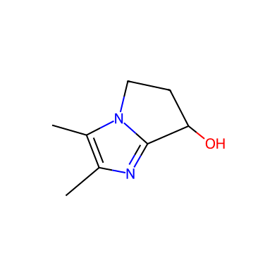 Cc1nc2n(c1C)CCC2O